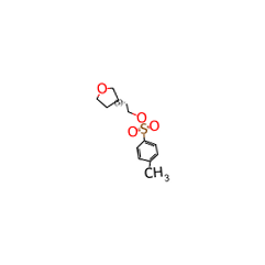 Cc1ccc(S(=O)(=O)OCC[C@@H]2CCOC2)cc1